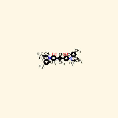 C=C1C(c2ccc(N(CC(C)(C)C)c3c(C)cc(C)cc3C)cc2O)=C(C)/C1=C1C=C/C(=[N+](/CC(C)(C)CC)c2c(C)cc(C)cc2C)C=C\1O